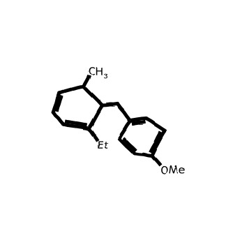 CCC1=CC=CC(C)C1Cc1ccc(OC)cc1